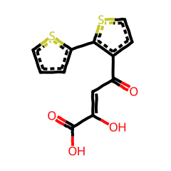 O=C(O)C(O)=CC(=O)c1ccsc1-c1cccs1